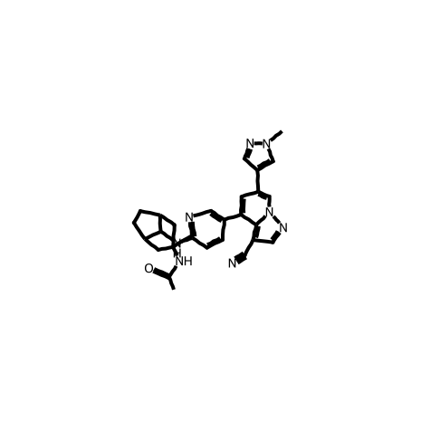 CC(=O)NC1(C)CC2CCC(C1)C2Nc1ccc(-c2cc(-c3cnn(C)c3)cn3ncc(C#N)c23)cn1